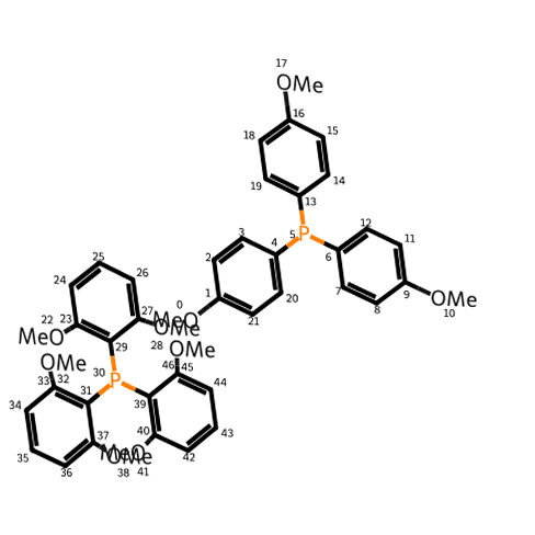 COc1ccc(P(c2ccc(OC)cc2)c2ccc(OC)cc2)cc1.COc1cccc(OC)c1P(c1c(OC)cccc1OC)c1c(OC)cccc1OC